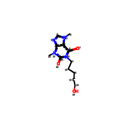 Cn1cnc2c1c(=O)n(CCCCCO)c(=O)n2C